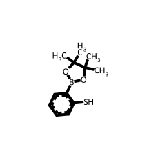 CC1(C)OB(c2ccccc2S)OC1(C)C